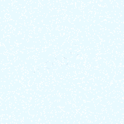 CC(C)(C)OC(=O)NCc1ccc(Nc2nccc(-c3ccc(OC4CCOCC4)c(C#N)c3)n2)cc1